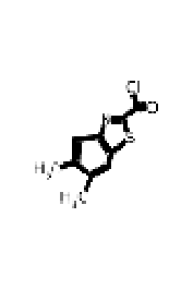 Cc1cc2nc(C(=O)Cl)sc2cc1C